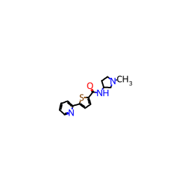 CN1CCC(NC(=O)c2ccc(-c3ccccn3)s2)C1